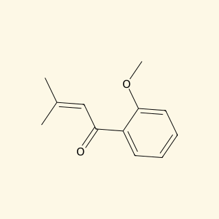 COc1ccccc1C(=O)C=C(C)C